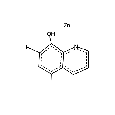 Oc1c(I)cc(I)c2cccnc12.[Zn]